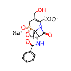 O=C([O-])C1=C(CO)CS(=O)(=O)[C@H]2[C@@H](NC(=O)c3ccccc3)C(=O)N12.[Na+]